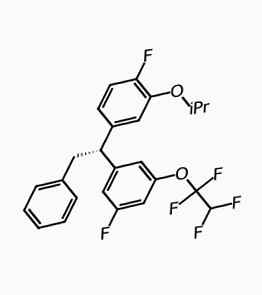 CC(C)Oc1cc([C@@H](Cc2ccccc2)c2cc(F)cc(OC(F)(F)C(F)F)c2)ccc1F